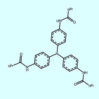 CCCC(=O)Nc1ccc(N(c2ccc(NC(=O)CCC)cc2)c2ccc(NC(=O)CCC)cc2)cc1